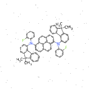 CC1(C)c2ccccc2-c2c(N(c3ccccc3F)c3ccc4ccc5c(N(c6ccccc6F)c6cccc7c6-c6ccccc6C7(C)C)ccc6ccc3c4c65)cccc21